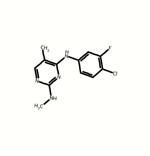 CNc1ncc(C)c(Nc2ccc(Cl)c(F)c2)n1